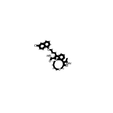 Cc1[nH]nc2c1-c1cccc3c(CCCOc4cccc5cc(Cl)ccc45)c(C(=O)O)n(c13)CCCCOC2